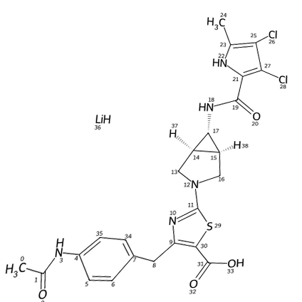 CC(=O)Nc1ccc(Cc2nc(N3C[C@@H]4[C@H](C3)[C@H]4NC(=O)c3[nH]c(C)c(Cl)c3Cl)sc2C(=O)O)cc1.[LiH]